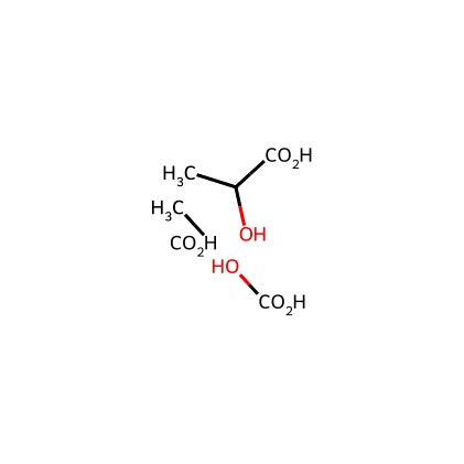 CC(=O)O.CC(O)C(=O)O.O=C(O)O